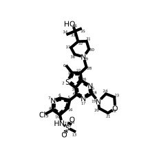 Cc1sc2c(-c3cnc(Cl)c(NS(C)(=O)=O)c3)nc(N3CCOCC3)nc2c1CN1CCC(C(C)(C)O)CC1